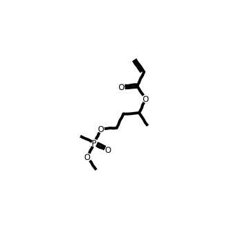 C=CC(=O)OC(C)CCOP(C)(=O)OC